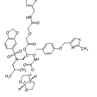 Cc1nc(COc2ccc(C[C@H](NC(=O)O[C@H]3CO[C@H]4OCC[C@H]43)[C@@H](CN(CC(C)C)S(=O)(=O)c3ccc4c(c3)OCO4)OC(=O)COCC(=O)NCc3cccs3)cc2)cs1